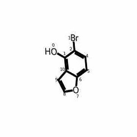 Oc1c(Br)ccc2occc12